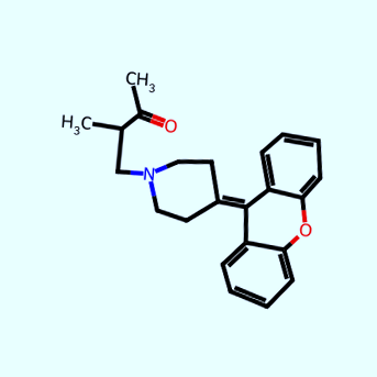 CC(=O)C(C)CN1CCC(=C2c3ccccc3Oc3ccccc32)CC1